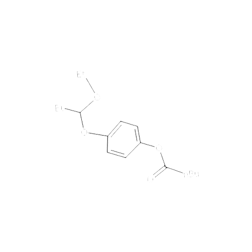 CCCCC(=O)Oc1ccc(OC(CC)OCC)cc1